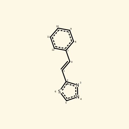 C(=Cc1nncs1)c1ccccc1